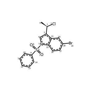 C[C@@H](Cl)c1cn(S(=O)(=O)c2ccccc2)c2ccc(Br)cc12